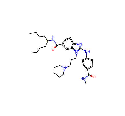 CCCCC(CCCC)NC(=O)c1ccc2nc(Nc3ccc(C(=O)NC)cc3)n(CCCN3CCCCC3)c2c1